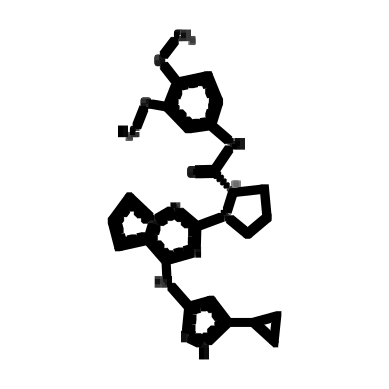 COc1ccc(NC(=O)[C@@H]2CCCN2c2nc(Nc3cc(C4CC4)[nH]n3)c3cccn3n2)cc1OC